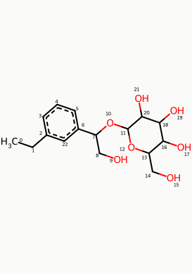 CCc1cccc(C(CO)OC2OC(CO)C(O)C(O)C2O)c1